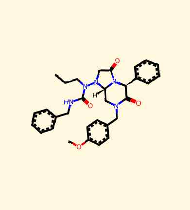 CCCN(C(=O)NCc1ccccc1)N1CC(=O)N2[C@@H](c3ccccc3)C(=O)N(Cc3ccc(OC)cc3)C[C@@H]21